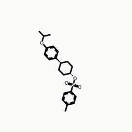 Cc1ccc(S(=O)(=O)O[C@H]2CC[C@H](c3ccc(OC(C)C)cc3)CC2)cc1